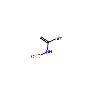 C=C(CCC)NC=O